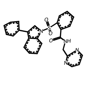 O=C(NCc1ncccn1)c1ccccc1S(=O)(=O)n1cc(-c2ccccc2)c2ccccc21